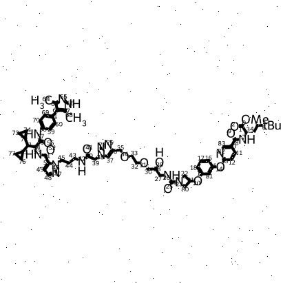 COC(=O)[C@H](CCC(C)(C)C)NC(=O)c1ccc(Oc2cccc(OC3CN(C(=O)NCC(O)COCCOCc4cn(CC(=O)NCCCn5nccc5C(=O)N[C@H](C(=O)Nc5ccc(-c6c(C)n[nH]c6C)cc5)C(C5CC5)C5CC5)nn4)C3)c2)nc1